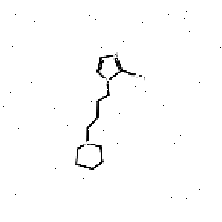 Nc1nccn1CCCCN1CCCCC1